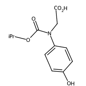 CC(C)OC(=O)N(CC(=O)O)c1ccc(O)cc1